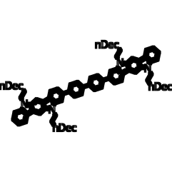 CCCCCCCCCCCCn1c2ccccc2c2cc3c(cc21)c1ccc(-c2ccc(-c4ccc(-c5ccc6c7cc8c(cc7n(CCCCCCCCCCCC)c6c5)c5ccccc5n8CCCCCCCCCCCC)cc4)cc2)cc1n3CCCCCCCCCCCC